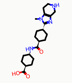 Cn1c2c(nc1[C@H]1CC[C@H](C(=O)N[C@H]3CC[C@H](C(=O)O)CC3)CC1)CNCC2